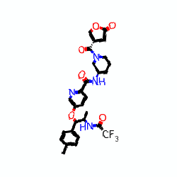 Cc1ccc(C(Oc2ccc(C(=O)N[C@@H]3CCCN(C(=O)[C@@H]4COC(=O)C4)C3)nc2)C(C)NC(=O)C(F)(F)F)cc1